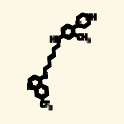 Cc1cc(NCCC=CCCSc2ccnc3cc(C(F)(F)F)ccc23)ccc1N1CCNCC1